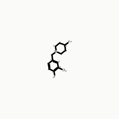 Fc1ccc(CN2CCC(F)CC2)cc1Cl